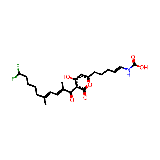 C/C(=C\C=C(/C)C(=O)c1c(O)cc(CCC/C=C/NC(=O)O)oc1=O)CCCCC(F)F